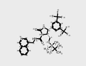 CC(C)(C)[Si](C)(C)OC[C@H]1[C@@H](c2cc(C(F)(F)F)cc(C(F)(F)F)c2)OC(=O)N1C(=O)NCc1cncc2ccccc12